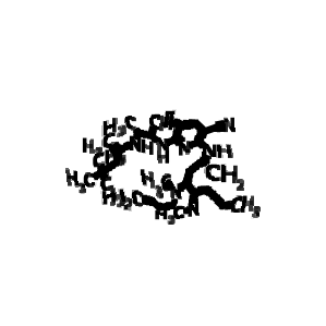 C=C/C=C\N(C)C(=C/C(=C)Nc1nc(NC(C)C(C)NC(=C)CC(C)(C)C)c(F)cc1C#N)/C(CCC)=N\C